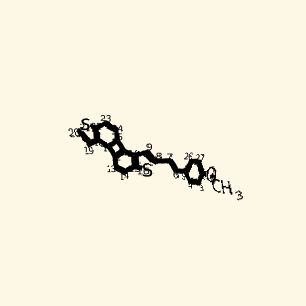 COc1ccc(CCc2cc3c4c(ccc3s2)C2c3ccsc3C=CC42)cc1